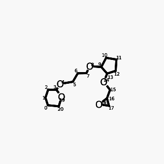 C1CCC(OCCCOC2CCCC2OCC2CO2)OC1